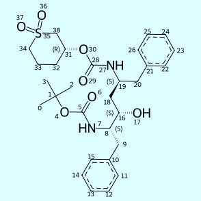 CC(C)(C)OC(=O)N[C@@H](Cc1ccccc1)[C@@H](O)C[C@H](Cc1ccccc1)NC(=O)O[C@@H]1CCCS(=O)(=O)C1